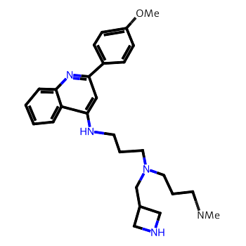 CNCCCN(CCCNc1cc(-c2ccc(OC)cc2)nc2ccccc12)CC1CNC1